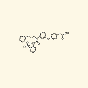 O=C(O)Cc1ccc(Sc2cccc(N(CCCc3ccccc3)C(=O)Nc3ccccc3[N+](=O)[O-])c2)cc1